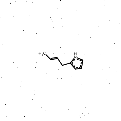 [CH2]C=CCc1ccc[nH]1